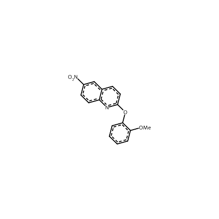 COc1ccccc1Oc1ccc2cc([N+](=O)[O-])ccc2n1